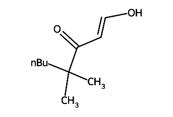 CCCCC(C)(C)C(=O)C=CO